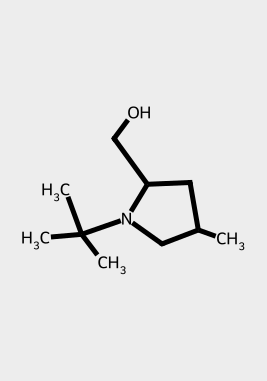 CC1CC(CO)N(C(C)(C)C)C1